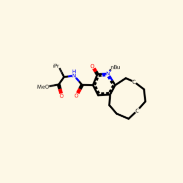 CCCCn1c2c(cc(C(=O)NC(C(=O)OC)C(C)C)c1=O)CCCCCCCC2